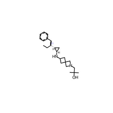 CC/C(=C\c1ccccc1)[C@@H]1C[C@H]1NC1CC2(C1)CN(CC(C)(C)O)C2